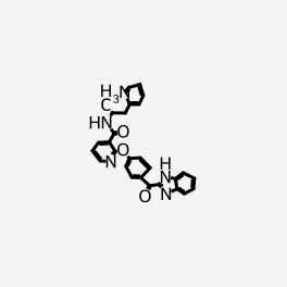 C[C@@H](Cc1ccccn1)NC(=O)c1cccnc1Oc1ccc(C(=O)c2nc3ccccc3[nH]2)cc1